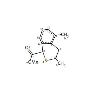 COC(=O)C1SC(C)Cc2c(C)cccc21